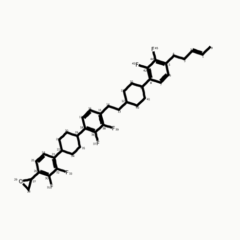 C/C=C/CCc1ccc(C2CCC(CCc3ccc(C4CCC(c5ccc(C6CO6)c(F)c5F)CC4)c(F)c3F)CC2)c(F)c1F